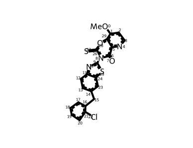 COc1ccnc2c(=O)n(-c3nc4ccc(Cc5ccccc5Cl)cc4s3)c(=S)oc12